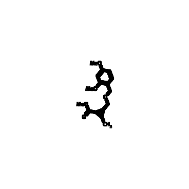 COC(=O)C1C(C)C1COCc1ccc(OC)cc1OC